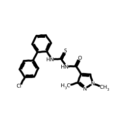 Cc1nn(C)cc1C(=O)NC(=S)Nc1ccccc1-c1ccc(Cl)cc1